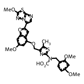 COc1ccc(CN(C(=O)O)c2nc(COc3cc(OC)cc4oc(-c5cnc6sc(OC)nn56)cc34)c(C)s2)c(OC)c1